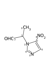 CC(C=O)n1cncc1[N+](=O)[O-]